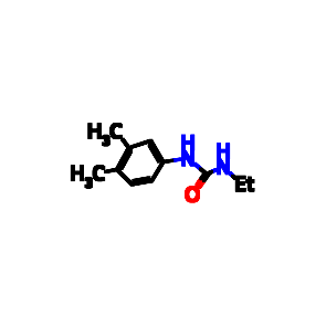 CCNC(=O)Nc1ccc(C)c(C)c1